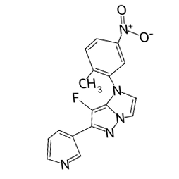 Cc1ccc([N+](=O)[O-])cc1-n1ccn2nc(-c3cccnc3)c(F)c12